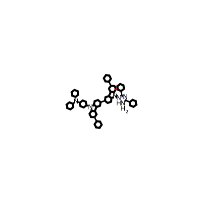 NC(/N=C(\Nn1c2ccc(-c3ccccc3)cc2c2cc(-c3ccc4c(c3)c3cc(-c5ccccc5)ccc3n4-c3ccc(N(c4ccccc4)c4ccccc4)cc3)ccc21)c1ccccc1)c1ccccc1